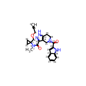 C#CCOCC1(N(C)C(=O)c2n[nH]c3c2CN(C(=O)c2cc4ccccc4[nH]2)CC3)CC1